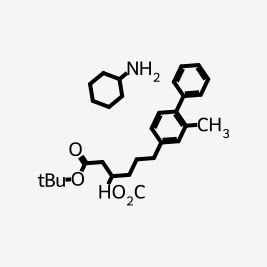 Cc1cc(CCCC(CC(=O)OC(C)(C)C)C(=O)O)ccc1-c1ccccc1.NC1CCCCC1